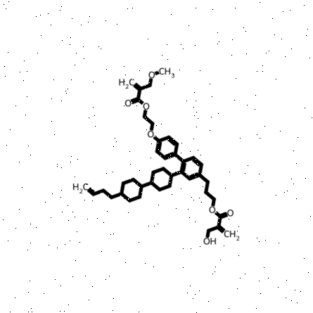 C=CCCC1CCC(C2CCC(c3cc(CCCOC(=O)C(=C)CO)ccc3-c3ccc(OCCOC(=O)C(=C)COC)cc3)CC2)CC1